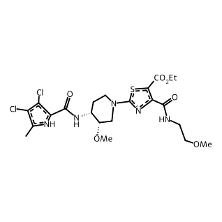 CCOC(=O)c1sc(N2CC[C@@H](NC(=O)c3[nH]c(C)c(Cl)c3Cl)[C@@H](OC)C2)nc1C(=O)NCCOC